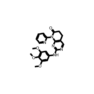 COc1cc(Nc2ncc3c(n2)N(c2ccccn2)C(=O)CC3)cc(OC)c1OC